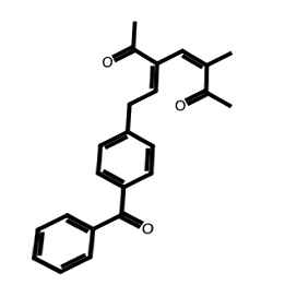 CC(=O)C(C)=CC(=CCc1ccc(C(=O)c2ccccc2)cc1)C(C)=O